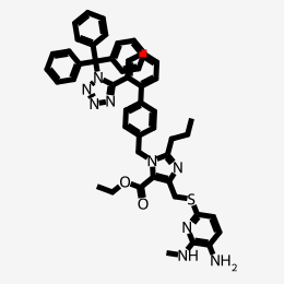 CCCc1nc(CSc2ccc(N)c(NC)n2)c(C(=O)OCC)n1Cc1ccc(-c2ccccc2-c2nnnn2C(c2ccccc2)(c2ccccc2)c2ccccc2)cc1